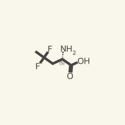 CC(F)(F)C[C@H](N)C(=O)O